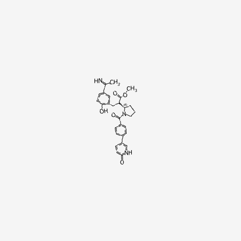 COC(=O)C(Cc1cc(C(C)=N)ccc1O)[C@H]1CCCN1C(=O)c1ccc(-c2ccc(=O)[nH]c2)cc1